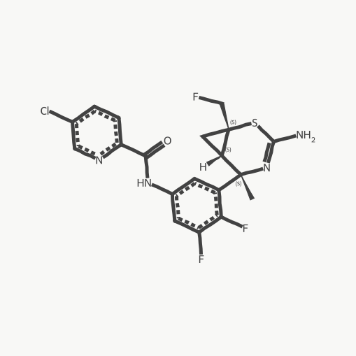 C[C@]1(c2cc(NC(=O)c3ccc(Cl)cn3)cc(F)c2F)N=C(N)S[C@@]2(CF)C[C@H]21